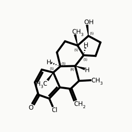 C=C1C2=C(Cl)C(=O)C=C[C@]2(C)[C@H]2CC[C@]3(C)[C@@H](O)CC[C@H]3[C@@H]2C1C